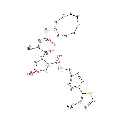 Cc1ncsc1-c1ccc(CNC(=O)[C@@H]2C[C@@H](O)CN2C(=O)C(NC(=O)BC2CCCCCCCC2)C(C)(C)C)cc1